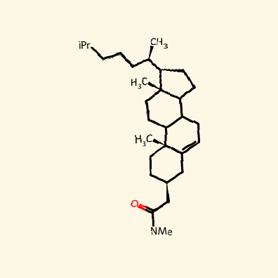 CNC(=O)C[C@H]1CC[C@@]2(C)C(=CCC3C2CC[C@@]2(C)C3CC[C@@H]2[C@H](C)CCCC(C)C)C1